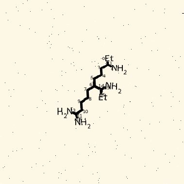 CCC(N)CCCC(CCCCC(N)N)C(N)CC